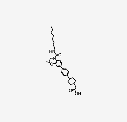 CCCCCCCCNC(=O)N1CC(C)Oc2cc(-c3ccc(C4CCC(CC(=O)O)CC4)cc3)ccc21